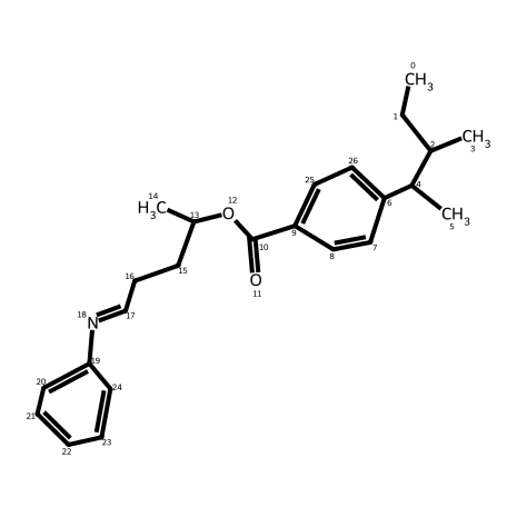 CCC(C)C(C)c1ccc(C(=O)OC(C)CCC=Nc2ccccc2)cc1